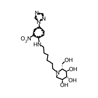 O=[N+]([O-])c1cc(-n2cncn2)ccc1NCCCCCCN1C[C@H](O)[C@@H](O)[C@H](O)[C@H]1CO